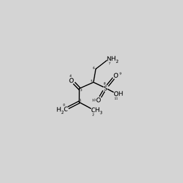 C=C(C)C(=O)C(CN)S(=O)(=O)O